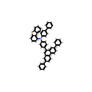 c1ccc(-c2ccc(N(c3ccc(-c4cc5cc(-c6ccccc6)ccc5c5ccc(-c6ccccc6)cc45)cc3)c3cccc4sc5ccccc5c34)cc2)cc1